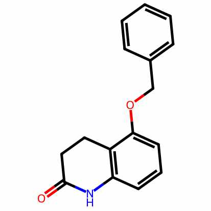 O=C1CCc2c(cccc2OCc2ccccc2)N1